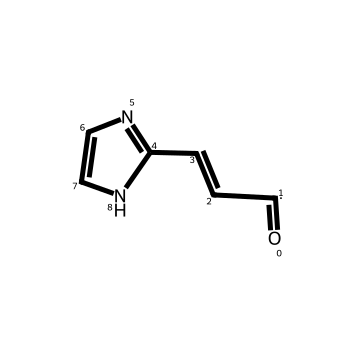 O=[C]C=Cc1ncc[nH]1